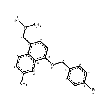 Cc1ccc2c(CN(C)C(C)C)ccc(OCc3ccc(C(C)C)cc3)c2n1